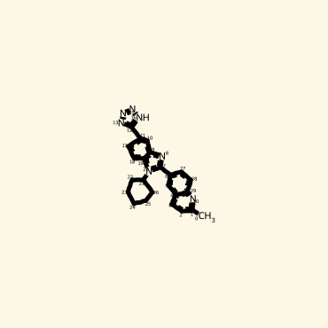 Cc1ccc2cc(-c3nc4cc(-c5nnn[nH]5)ccc4n3C3CCCCC3)ccc2n1